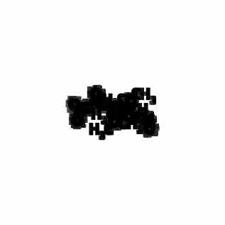 Cc1cc(C)c(B2c3ccc(-c4ccc5c(c4)c4ccccc4n5-c4ccc5c(c4)c4ccccc4n5-c4ccccc4)cc3B(c3c(C)cc(C)cc3C)c3ccc(-c4ccc5sc6ccccc6c5c4)cc32)c(C)c1